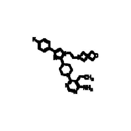 CCc1c(N)ncnc1N1CCC(c2nc(-c3ccc(F)cc3)cn2CCN2CC3(COC3)C2)CC1